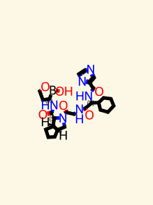 O=C(N[C@H](C(=O)NCC(=O)N1C[C@@H]2CCC[C@@H]2[C@H]1C(=O)N[C@H]1CCOB1O)C1CCCCC1)c1cnccn1